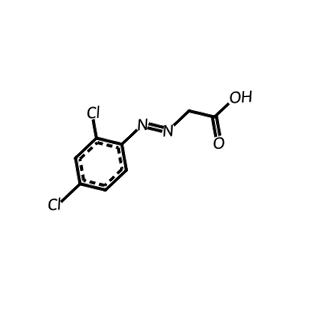 O=C(O)CN=Nc1ccc(Cl)cc1Cl